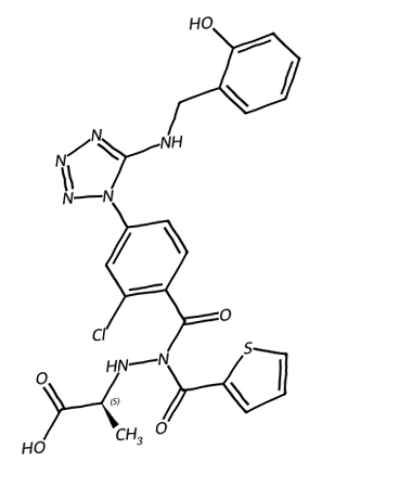 C[C@H](NN(C(=O)c1cccs1)C(=O)c1ccc(-n2nnnc2NCc2ccccc2O)cc1Cl)C(=O)O